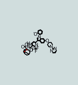 COc1ccccc1-n1cc(-c2ccc(C(=O)NC3(C(=O)O)C4CCC5CC(C4)CC3C5)c(C(F)(F)F)n2)c2ccc(OC3CCN(c4ncccn4)CC3)cc21